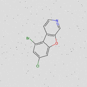 Clc1cc(Br)c2c(c1)oc1cnccc12